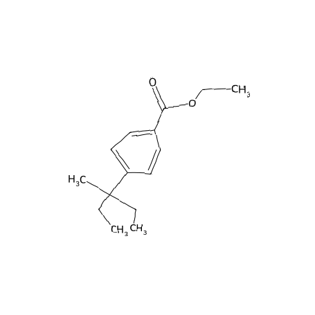 CCOC(=O)c1ccc(C(C)(CC)CC)cc1